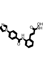 O=C(C=Cc1ccccc1NC(=O)c1ccc(-n2ccnc2)cc1)NO